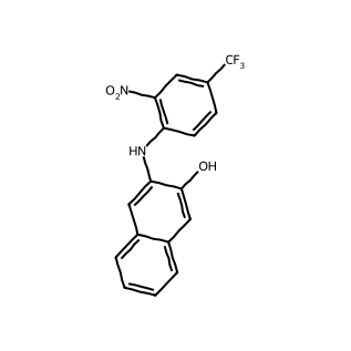 O=[N+]([O-])c1cc(C(F)(F)F)ccc1Nc1cc2ccccc2cc1O